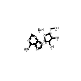 Nc1ncnc2c1ncn2[C@@H]1O[C@H](CO)C(O)C1O.[NaH]